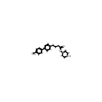 O=C(CCCc1ccc(-c2ccc(Cl)cc2)cc1)ON1CCNCC1